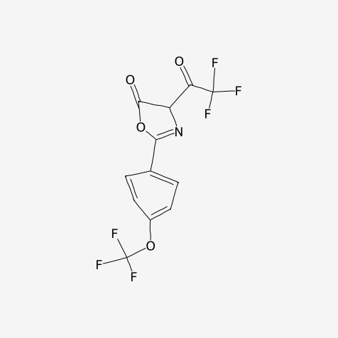 O=C1OC(c2ccc(OC(F)(F)F)cc2)=NC1C(=O)C(F)(F)F